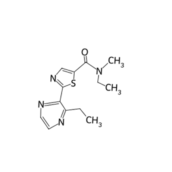 CCc1nccnc1-c1ncc(C(=O)N(C)CC)s1